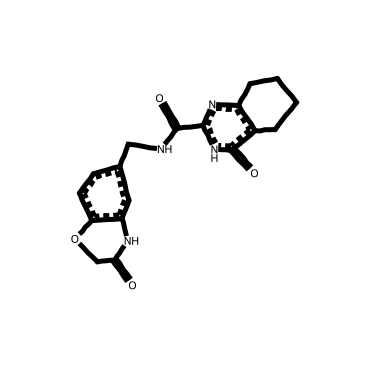 O=C1COc2ccc(CNC(=O)c3nc4c(c(=O)[nH]3)CCCC4)cc2N1